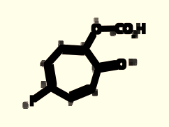 O=C(O)Oc1ccc(I)ccc1=O